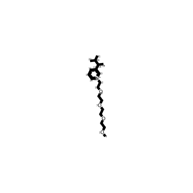 COCCOCCOCCOCC[n+]1cccc(C(C)C(C)C)c1